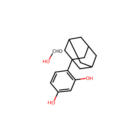 O=CO.Oc1ccc(C23CC4CC(CC(C4)C2)C3)c(O)c1